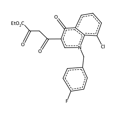 CCOC(=O)C(=O)CC(=O)c1cn(Cc2ccc(F)cc2)c2c(Cl)cccc2c1=O